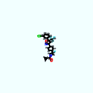 O=C(C1CC1)N1CC(F)(c2ccc(C3=NOC(c4cccc(Cl)c4)(C(F)(F)F)C3)cc2)C1